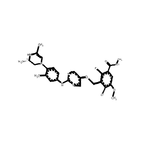 CNC(=O)c1cc(OC)c(Cl)c(COc2cnc(Nc3ccc(N4C=C(C)N[C@@H](C)C4)c(C)c3)nc2)c1F